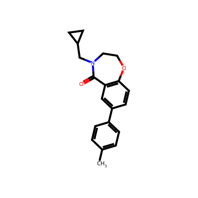 Cc1ccc(-c2ccc3c(c2)C(=O)N(CC2CC2)CCO3)cc1